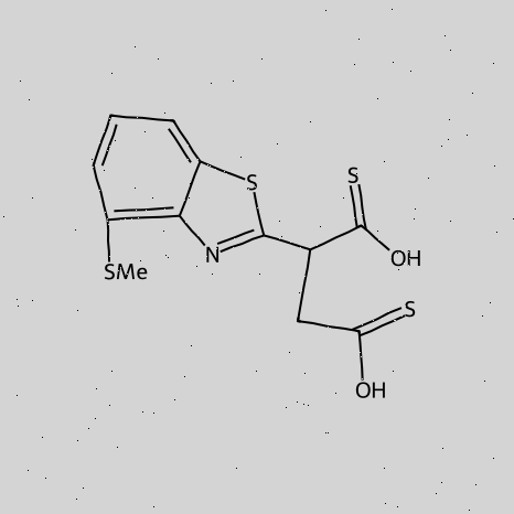 CSc1cccc2sc(C(CC(O)=S)C(O)=S)nc12